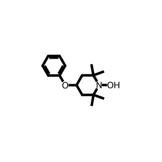 CC1(C)CC(Oc2ccccc2)CC(C)(C)N1O